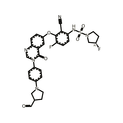 N#Cc1c(NS(=O)(=O)N2CC[C@@H](F)C2)ccc(F)c1Oc1ccc2ncn(-c3ccc(N4CCC(C=O)C4)cc3)c(=O)c2c1